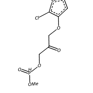 CO[PH](=O)OCC(=O)COc1ccsc1Cl